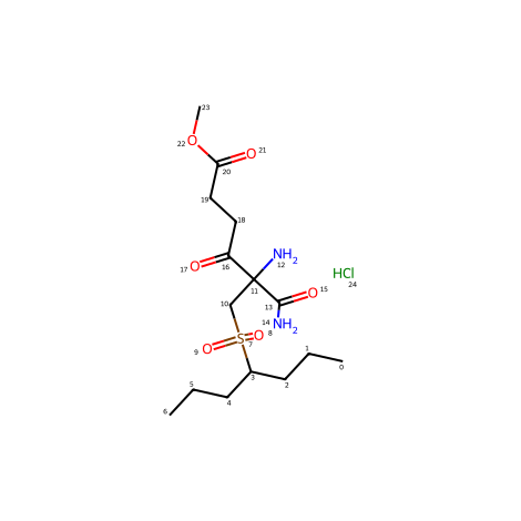 CCCC(CCC)S(=O)(=O)CC(N)(C(N)=O)C(=O)CCC(=O)OC.Cl